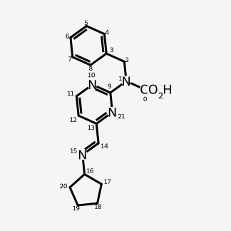 O=C(O)N(Cc1ccccc1)c1nccc(C=NC2CCCC2)n1